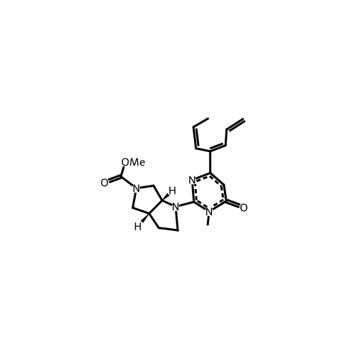 C=C/C=C(\C=C/C)c1cc(=O)n(C)c(N2CC[C@@H]3CN(C(=O)OC)C[C@@H]32)n1